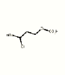 CCCCC(CC)CCOC(=O)O